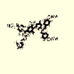 COc1ccc(CN(Cc2ccc(OC)cc2)c2cc(C)c(C(F)(F)F)c(-c3c(Cl)cc4c(N5CCN(C(=O)O)C[C@@H]5C)nc(OC[C@@H]5CCCN5C)nc4c3F)n2)cc1